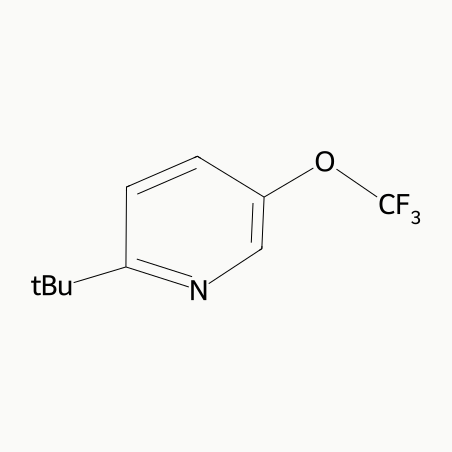 CC(C)(C)c1ccc(OC(F)(F)F)cn1